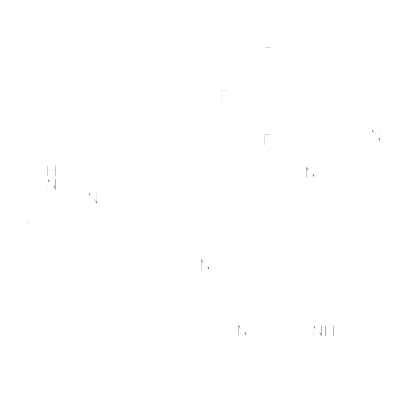 CC(C)C1N=C(N)C2=C(CCN(c3ncccc3C(F)(F)F)CC2)N1C1=CC2=CSNN2C=C1